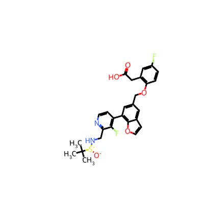 CC(C)(C)[S@+]([O-])NCc1nccc(-c2cc(COc3ccc(F)cc3CC(=O)O)cc3ccoc23)c1F